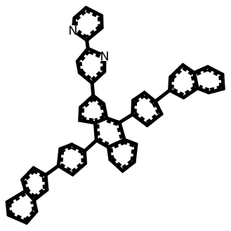 c1ccc(-c2ccc(-c3ccc4c(-c5ccc(-c6ccc7ccccc7c6)cc5)c5ccccc5c(-c5ccc(-c6ccc7ccccc7c6)cc5)c4c3)cn2)nc1